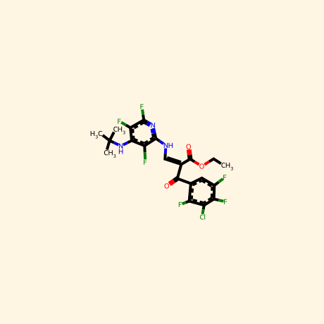 CCOC(=O)C(=CNc1nc(F)c(F)c(NC(C)(C)C)c1F)C(=O)c1cc(F)c(F)c(Cl)c1F